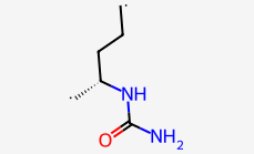 [CH2]CC[C@@H]([CH2])NC(N)=O